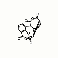 CCCOc1c2cccc1C1C(=O)OC(=O)c3ccc1cc3C(=O)OC2=O